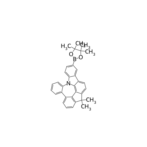 CC1(C)c2cccc3c2-c2c1ccc1c4cc(B5OC(C)(C)C(C)(C)O5)ccc4n(c21)-c1ccccc1-3